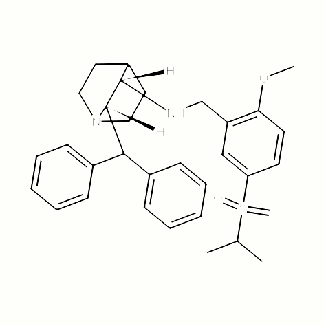 COc1ccc(S(=O)(=O)C(C)C)cc1CN[C@H]1C2CCN(CC2)[C@H]1C(c1ccccc1)c1ccccc1